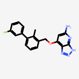 Cc1c(COc2cc(N)nc3[nH]nnc23)cccc1-c1cccc(F)c1